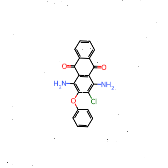 Nc1c(Cl)c(Oc2ccccc2)c(N)c2c1C(=O)c1ccccc1C2=O